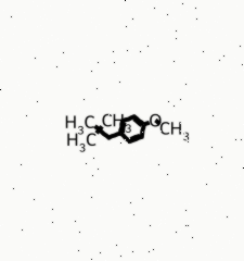 COc1ccc(CC(C)(C)C)cc1